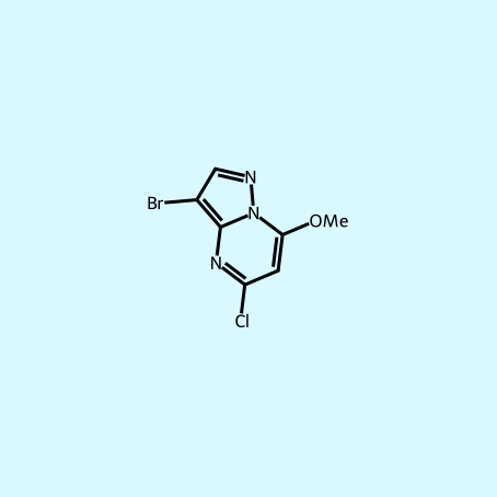 COc1cc(Cl)nc2c(Br)cnn12